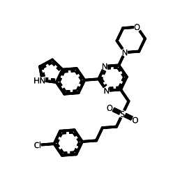 O=S(=O)(CCCc1ccc(Cl)cc1)Cc1cc(N2CCOCC2)nc(-c2ccc3[nH]ccc3c2)n1